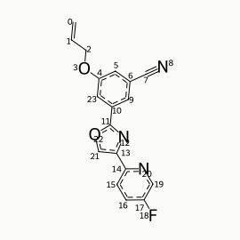 C=CCOc1cc(C#N)cc(-c2nc(-c3ccc(F)cn3)co2)c1